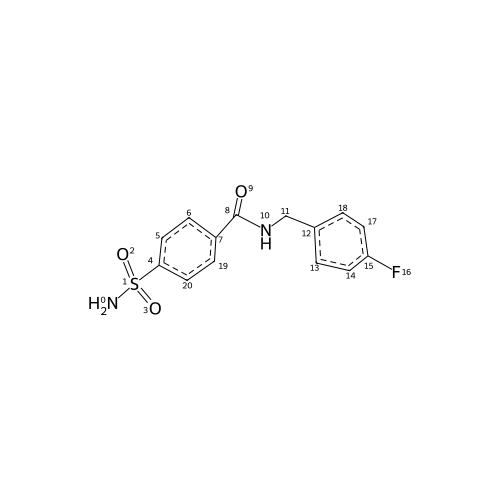 NS(=O)(=O)c1ccc(C(=O)NCc2ccc(F)cc2)cc1